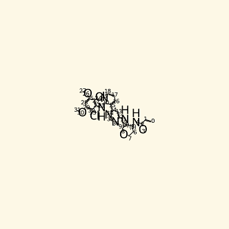 C=CC(=O)N[C@H]1CCOC[C@H]1Nc1cc(-c2cccnc2Nc2c(Cl)c(OC)cc(OC)c2Cl)ncn1